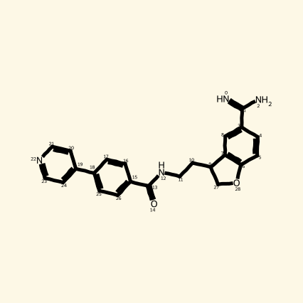 N=C(N)c1ccc2c(c1)C(CCNC(=O)c1ccc(-c3ccncc3)cc1)CO2